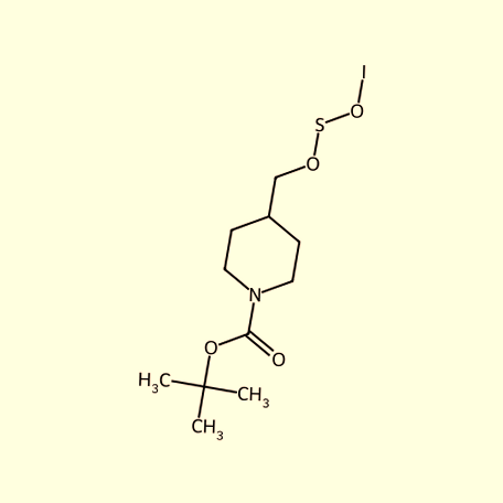 CC(C)(C)OC(=O)N1CCC(COSOI)CC1